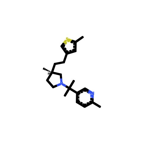 Cc1ccc(C(C)(C)N2CC[C@@](C)(CCc3csc(C)c3)C2)cn1